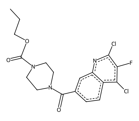 CCCOC(=O)N1CCN(C(=O)c2ccc3c(Cl)c(F)c(Cl)nc3c2)CC1